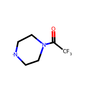 O=C(N1CC[N]CC1)C(F)(F)F